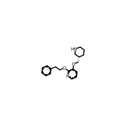 c1ccc(CCOc2ncccc2OC[C@H]2CCCNC2)cc1